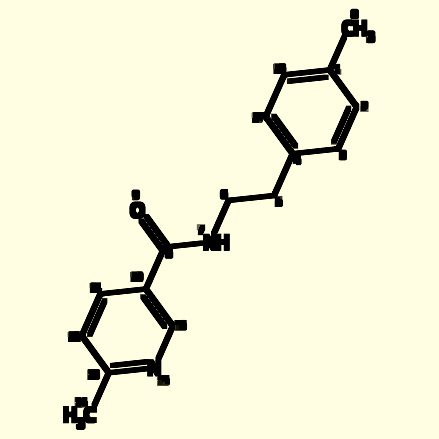 Cc1ccc(CCNC(=O)c2ccc(C)nc2)cc1